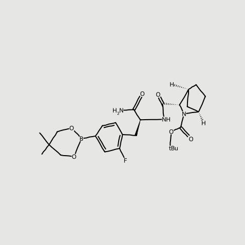 CC1(C)COB(c2ccc(C[C@H](NC(=O)[C@@H]3[C@H]4CC[C@H](C4)N3C(=O)OC(C)(C)C)C(N)=O)c(F)c2)OC1